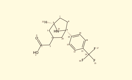 O=C(O)CC1C[C@H]2CC[C@@](c3ccc(C(F)(F)F)cc3)(C1)N2